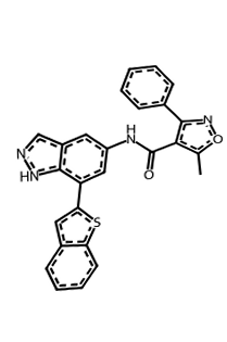 Cc1onc(-c2ccccc2)c1C(=O)Nc1cc(-c2cc3ccccc3s2)c2[nH]ncc2c1